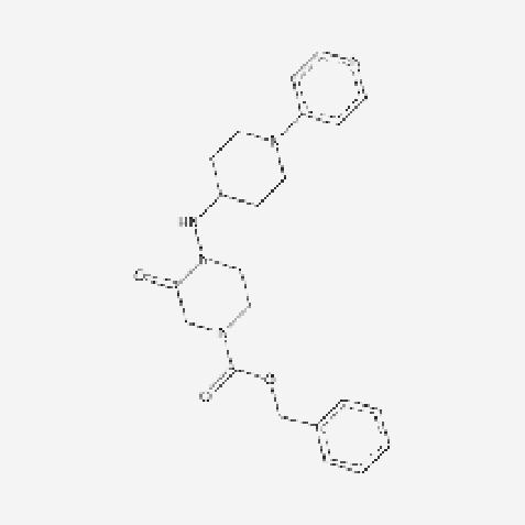 O=C(OCc1ccccc1)N1CCN(NC2CCN(c3ccncc3)CC2)C(=O)C1